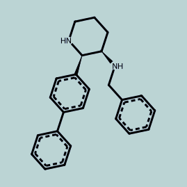 c1ccc(CN[C@@H]2CCCN[C@@H]2c2ccc(-c3ccccc3)cc2)cc1